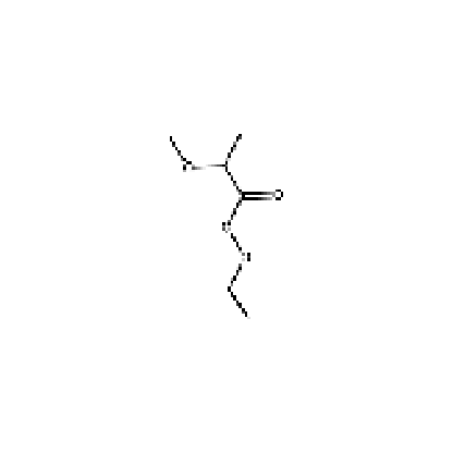 CCOOC(=O)C(C)OC